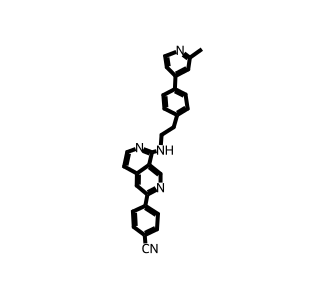 Cc1cc(-c2ccc(CCNc3nccc4cc(-c5ccc(C#N)cc5)ncc34)cc2)ccn1